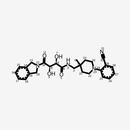 CC1(CNC(=O)[C@H](O)[C@@H](O)C(=O)N2Cc3ccccc3C2)CCN(c2ccccc2C#N)CC1